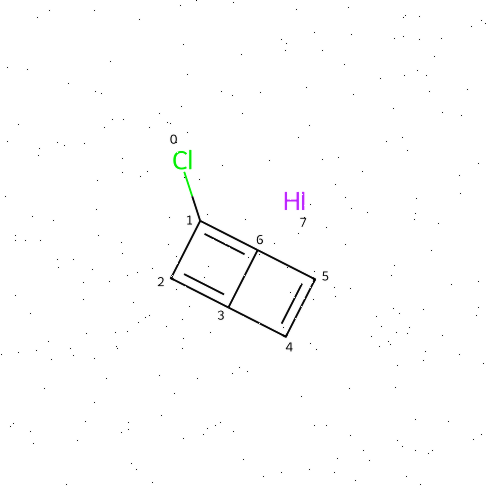 Clc1cc2ccc1-2.I